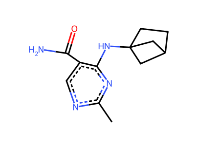 Cc1ncc(C(N)=O)c(NC23CCC(C2)C3)n1